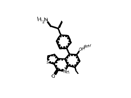 Br.Cc1cc(O)c(-c2ccc(C(C)CN)cc2)c2c1[nH]c(=O)c1sccc12